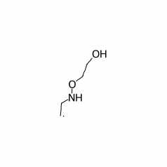 [CH2]CNOCCO